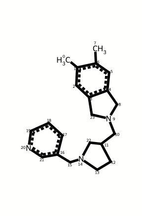 Cc1cc2c(cc1C)CN(CC1CCN(Cc3cccnc3)C1)C2